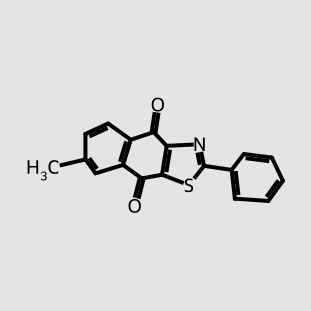 Cc1ccc2c(c1)C(=O)c1sc(-c3ccccc3)nc1C2=O